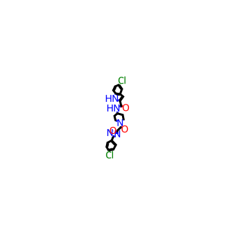 O=C(NC1CCN(C(=O)c2nc(-c3ccc(Cl)cc3)no2)CC1)c1cc2cc(Cl)ccc2[nH]1